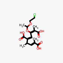 CC(=CC(C)C(=CC(OC(C)OCCCl)=C(C)C(=O)O)C(=O)O)C(=O)O